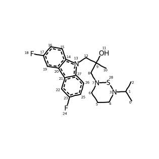 CC(C)N1CCCN(CC(C)(O)Cn2c3ccc(F)cc3c3cc(F)ccc32)S1